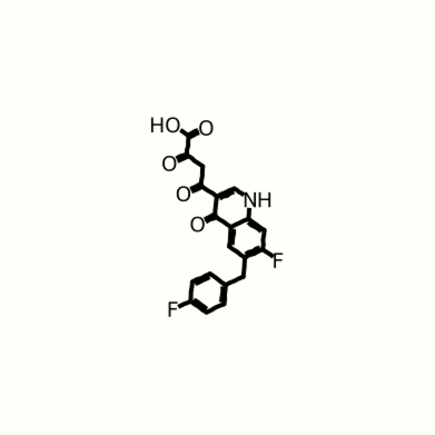 O=C(O)C(=O)CC(=O)c1c[nH]c2cc(F)c(Cc3ccc(F)cc3)cc2c1=O